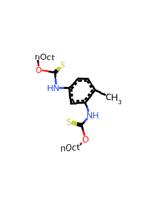 CCCCCCCCOC(=S)Nc1ccc(C)c(NC(=S)OCCCCCCCC)c1